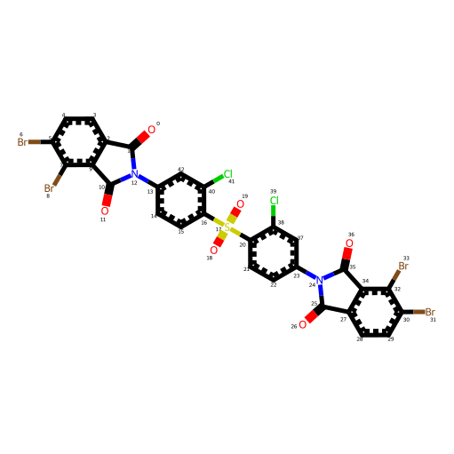 O=C1c2ccc(Br)c(Br)c2C(=O)N1c1ccc(S(=O)(=O)c2ccc(N3C(=O)c4ccc(Br)c(Br)c4C3=O)cc2Cl)c(Cl)c1